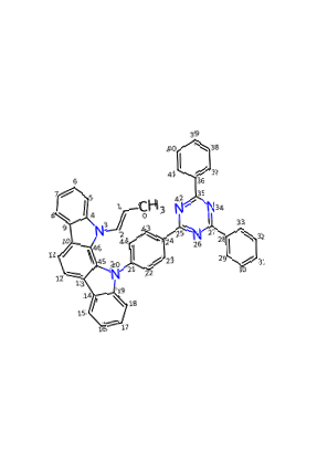 C/C=C/n1c2ccccc2c2ccc3c4ccccc4n(-c4ccc(-c5nc(-c6ccccc6)nc(-c6ccccc6)n5)cc4)c3c21